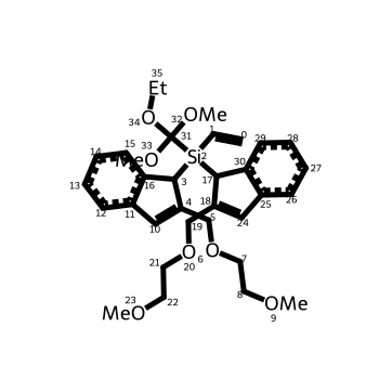 C=C[Si](C1C(COCCOC)=Cc2ccccc21)(C1C(COCCOC)=Cc2ccccc21)C(OC)(OC)OCC